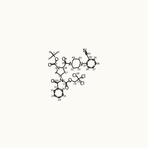 CC(C)(C)OC(=O)N1CC(N(C(=O)OCC(Cl)(Cl)Cl)C(=O)c2ccccc2)CC1C(=O)N1CCN(c2ccccc2C#N)CC1